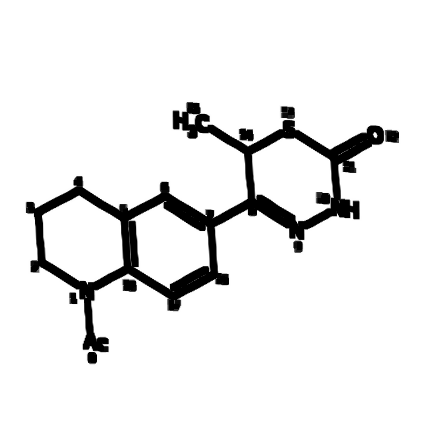 CC(=O)N1CCCc2cc(C3=NNC(=O)SC3C)ccc21